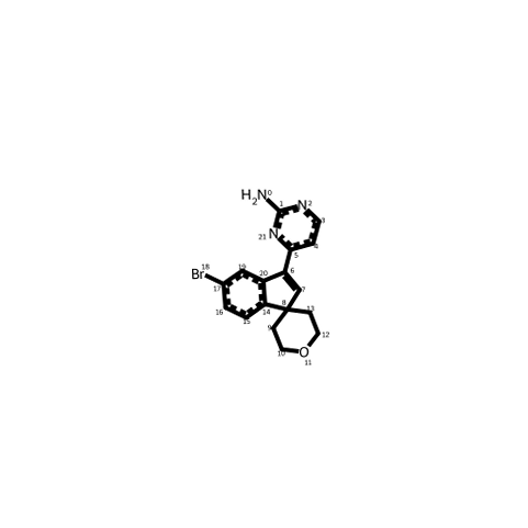 Nc1nccc(C2=CC3(CCOCC3)c3ccc(Br)cc32)n1